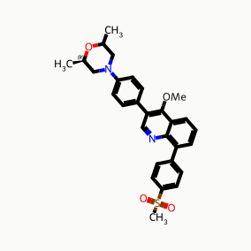 COc1c(-c2ccc(N3CC(C)O[C@H](C)C3)cc2)cnc2c(-c3ccc(S(C)(=O)=O)cc3)cccc12